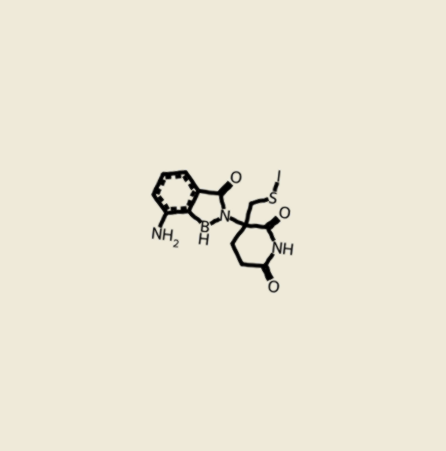 Nc1cccc2c1BN(C1(CSI)CCC(=O)NC1=O)C2=O